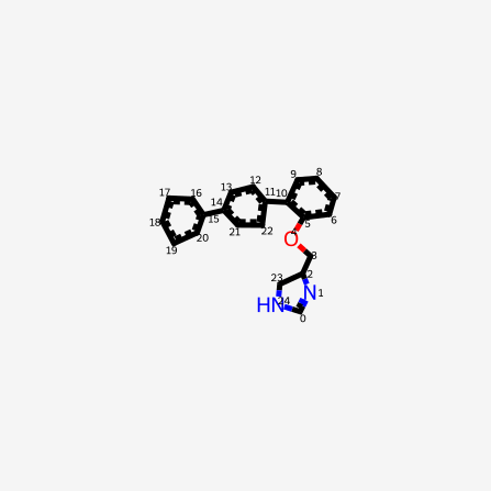 C1=NC(COc2ccccc2-c2ccc(-c3ccccc3)cc2)CN1